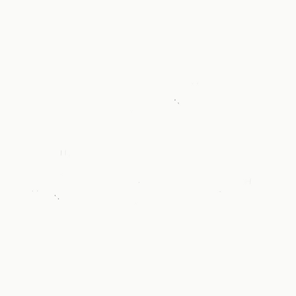 CC1C(OC(=O)C(CCC(=O)O)C2CC[N+](C)([O-])C(C)(C)C2C)CC[N+](C)([O-])C1(C)C